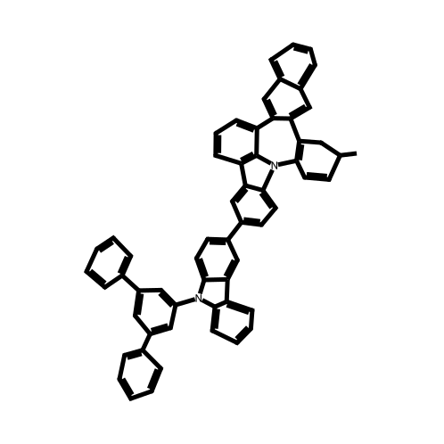 CC1C=CC2=C(C1)c1cc3ccccc3cc1-c1cccc3c4cc(-c5ccc6c(c5)c5ccccc5n6-c5cc(-c6ccccc6)cc(-c6ccccc6)c5)ccc4n2c13